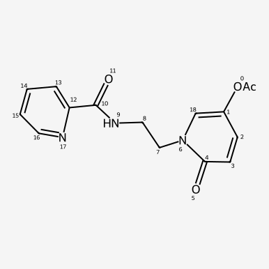 CC(=O)Oc1ccc(=O)n(CCNC(=O)c2ccccn2)c1